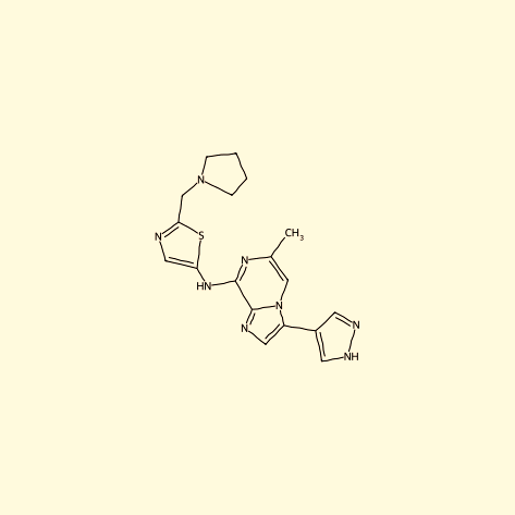 Cc1cn2c(-c3cn[nH]c3)cnc2c(Nc2cnc(CN3CCCC3)s2)n1